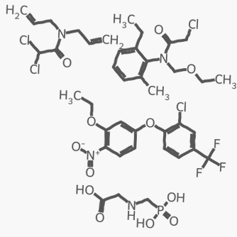 C=CCN(CC=C)C(=O)C(Cl)Cl.CCOCN(C(=O)CCl)c1c(C)cccc1CC.CCOc1cc(Oc2ccc(C(F)(F)F)cc2Cl)ccc1[N+](=O)[O-].O=C(O)CNCP(=O)(O)O